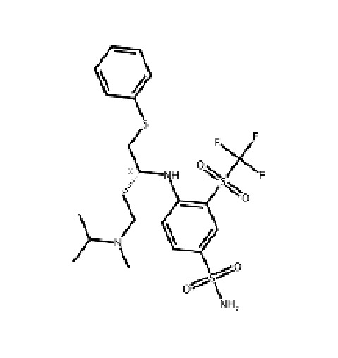 CC(C)N(C)CC[C@H](CSc1ccccc1)Nc1ccc(S(N)(=O)=O)cc1S(=O)(=O)C(F)(F)F